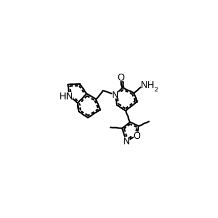 Cc1noc(C)c1-c1cc(N)c(=O)n(Cc2cccc3[nH]ccc23)c1